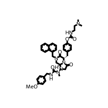 COc1ccc(CNC(=O)N(C)N2CC(=O)N3[C@@H](Cc4ccc(OC(=O)NCCN(C)C)cc4)C(=O)N(Cc4cccc5ccccc45)C[C@@H]32)cc1